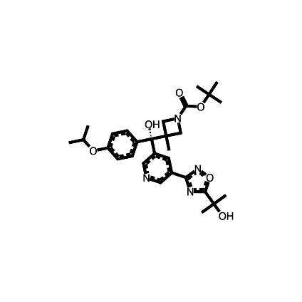 CC(C)Oc1ccc([C@](O)(c2cncc(-c3noc(C(C)(C)O)n3)c2)C2(C)CN(C(=O)OC(C)(C)C)C2)cc1